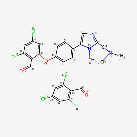 CN(C)Cc1ncc(-c2ccc(Oc3cc(Cl)cc(Cl)c3C=O)cc2)n1C.O=Cc1c(F)cc(Cl)cc1Cl